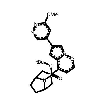 COc1cc(-c2cc3c(N4CC5CCC(C4)N5C(=O)OC(C)(C)C)ccnn3c2)cnn1